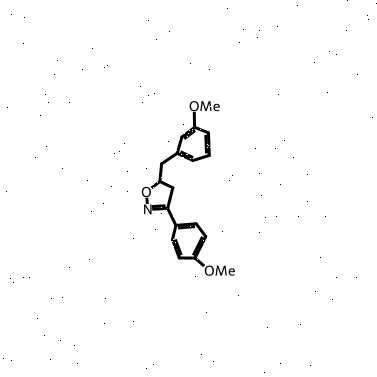 COc1ccc(C2=NOC(Cc3cccc(OC)c3)C2)cc1